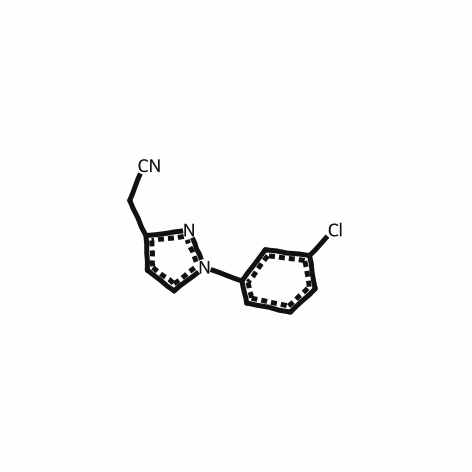 N#CCc1ccn(-c2cccc(Cl)c2)n1